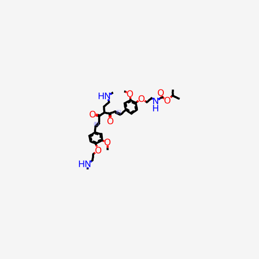 CNCCOc1ccc(/C=C/C(=O)C(CCNC)C(=O)/C=C/c2ccc(OCCNC(=O)OC(C)C)c(OC)c2)cc1OC